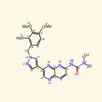 CCN(S)C(=O)Nc1ccc2ncc(-c3cnn(Cc4ccc(OC)c(OC)c4OC)c3)nc2n1